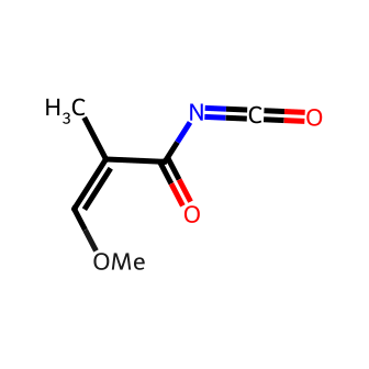 COC=C(C)C(=O)N=C=O